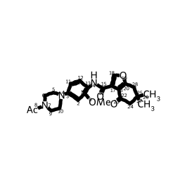 COc1cc(N2CCN(C(C)=O)CC2)ccc1NC(=O)c1coc2c1C(=O)CC(C)(C)C2